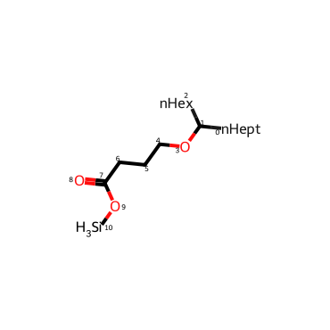 CCCCCCCC(CCCCCC)OCCCC(=O)O[SiH3]